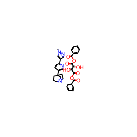 Cn1cc(-c2ccc(C34CCCN(CC3)C4)cn2)cn1.O=C(OC(=O)[C@@H](O)[C@H](O)C(=O)OC(=O)c1ccccc1)c1ccccc1